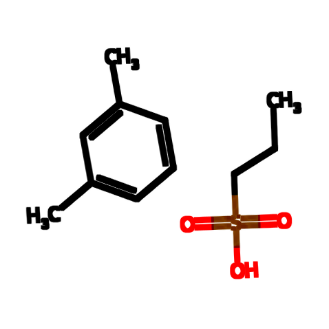 CCCS(=O)(=O)O.Cc1cccc(C)c1